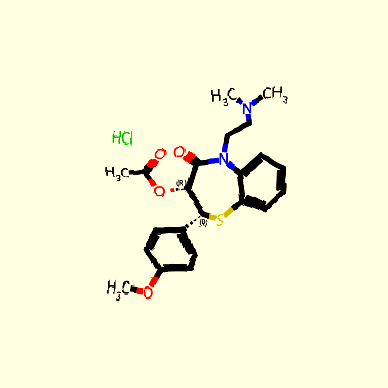 COc1ccc([C@H]2Sc3ccccc3N(CCN(C)C)C(=O)[C@H]2OC(C)=O)cc1.Cl